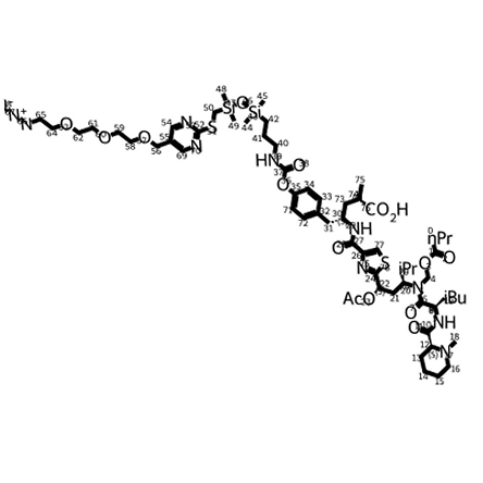 CCCC(=O)OCN(C(=O)[C@H](NC(=O)[C@@H]1CCCCN1C)C(C)CC)[C@@H](C[C@H](OC(C)=O)c1nc(C(=O)N[C@H](Cc2ccc(OC(=O)NCCC[Si](C)(C)O[Si](C)(C)CSc3ncc(COCCOCCOCCN=[N+]=[N-])cn3)cc2)C[C@@H](C)C(=O)O)cs1)C(C)C